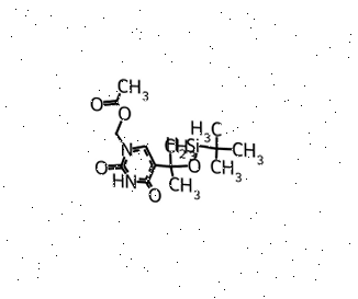 CC(=O)OCn1cc(C(C)(C)O[SiH2]C(C)(C)C)c(=O)[nH]c1=O